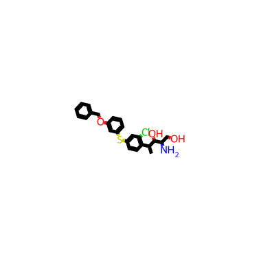 CC(c1ccc(Sc2cccc(OCc3ccccc3)c2)cc1Cl)C(O)C(N)CO